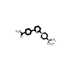 CN(C(=O)O)C1CCN(c2cccc(-c3ccc(C(N)=O)cc3)n2)CC1